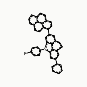 Fc1ccc(-n2c3cc(-c4ccccc4)cc4ccc5cc(-c6ccc7ccc8cccc9ccc6c7c89)cc2c5c43)cc1